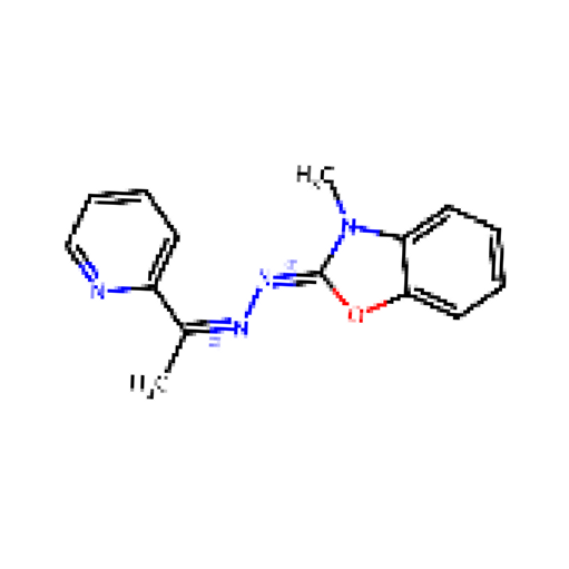 C/C(=N/N=c1\oc2ccccc2n1C)c1ccccn1